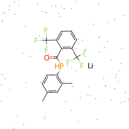 Cc1ccc(PC(=O)c2c(C(F)(F)F)cccc2C(F)(F)F)c(C)c1.[Li]